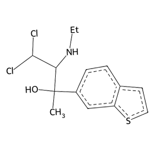 CCNC(C(Cl)Cl)C(C)(O)c1ccc2ccsc2c1